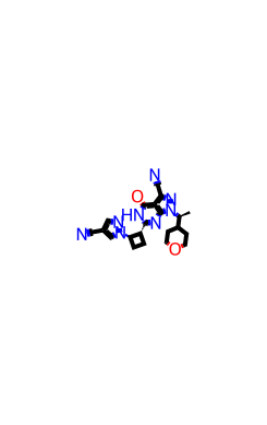 C[C@@H](C1CCOCC1)n1nc(C#N)c2c(=O)[nH]c([C@@H]3CC[C@H]3n3cc(C#N)cn3)nc21